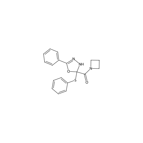 O=C(N1CCC1)C1(Sc2ccccc2)NN=C(c2ccccc2)O1